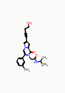 Cc1cccc(-c2cn3cc(C#CCCO)cc3c(=O)n2CC(=O)NC(C)C)c1